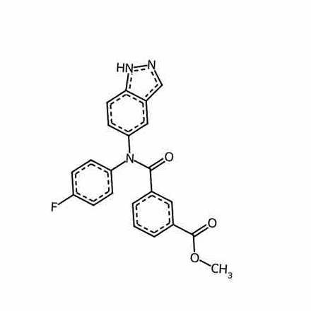 COC(=O)c1cccc(C(=O)N(c2ccc(F)cc2)c2ccc3[nH]ncc3c2)c1